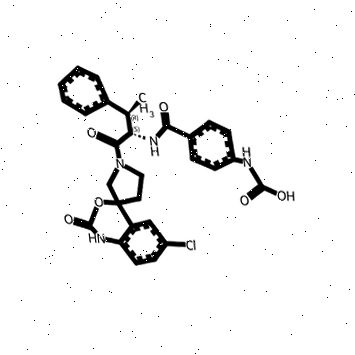 C[C@H](c1ccccc1)[C@H](NC(=O)c1ccc(NC(=O)O)cc1)C(=O)N1CCC2(C1)OC(=O)Nc1ccc(Cl)cc12